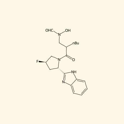 CCCCC(CN(O)C=O)C(=O)N1C[C@H](F)C[C@H]1c1nc2ccccc2[nH]1